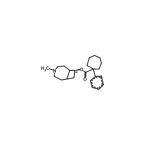 CN1CCC2C[C@H](OC(=O)C3(c4ccccc4)CCCCCC3)C2CC1